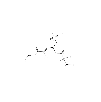 BC(B)(C(=O)CC(C=C(O)C(=O)OCC)CS(C)(=O)=O)C(F)P